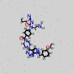 CCCOC(=NC#N)N(CCN(C)C)c1ccc(C(=O)N2CCN(c3ncnc4c3cnn4Cc3cccc(OCC)c3)CC2)cc1